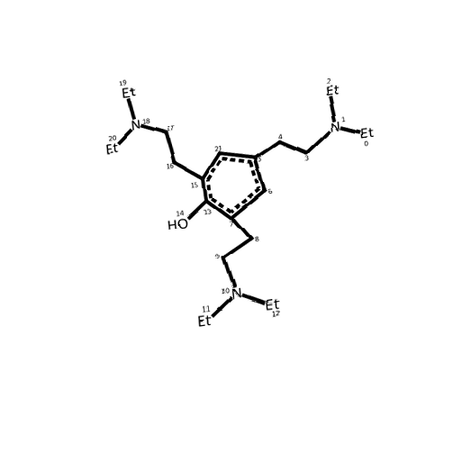 CCN(CC)CCc1cc(CCN(CC)CC)c(O)c(CCN(CC)CC)c1